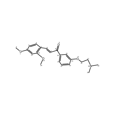 COc1ccc(/C=C/C(=O)c2cccc(OCCN(C)C)c2)c(OC)c1